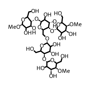 CO[C@H]1OC(CO)[C@H](O[C@@H]2OC(CO[C@H]3OC(CO)[C@H](O[C@@H]4OC(CO)[C@@H](OC)[C@@H](O)C4O)[C@@H](O)C3O)[C@H](O[C@@H]3OC(CO)[C@@H](OC)[C@@H](O)C3O)[C@@H](O)C2O)[C@@H](O)C1O